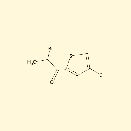 CC(Br)C(=O)c1cc(Cl)cs1